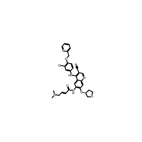 CN(C)CC=CC(=O)Nc1cc2c(Nc3ccc(OCc4ccccn4)c(Cl)c3)c(C#N)cnc2cc1O[C@H]1CCOC1